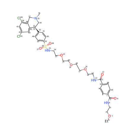 CCOCCNC(=O)c1ccc(C(=O)NCCOCCOCCOCCNS(=O)(=O)c2ccc([C@@H]3CN(C)Cc4c(Cl)cc(Cl)cc43)cc2)cc1